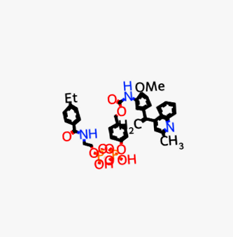 C=C(c1ccc(OC)c(NC(=O)OCc2ccc(OP(=O)(O)OP(=O)(O)OCCNC(=O)c3ccc(CC)cc3)cc2)c1)c1cc(C)nc2ccccc12